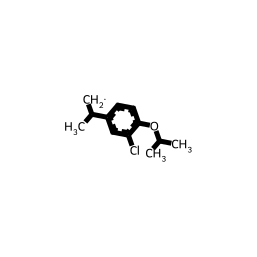 [CH2]C(C)c1ccc(OC(C)C)c(Cl)c1